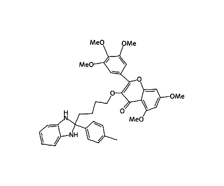 COc1cc(OC)c2c(=O)c(OCCCCC3(c4ccc(C)cc4)Nc4ccccc4N3)c(-c3cc(OC)c(OC)c(OC)c3)oc2c1